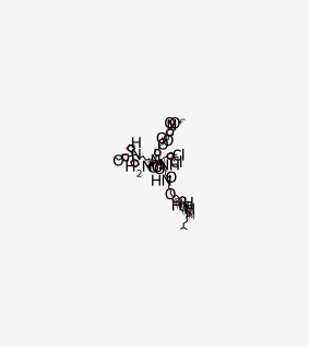 COc1ccc(C(NCCCC[C@@H](C(N)=O)N(C(=O)[C@H](Cc2ccc(Cl)c(Cl)c2)NC(=O)CCC(=O)NCCCOC2CC[C@@]3(C)C(=CC[C@H]4[C@@H]5CC[C@H]([C@H](C)CCCC(C)C)[C@@]5(C)CC[C@@H]43)C2)c2ccc(COC(=O)Oc3ccc([N+](=O)[O-])cc3)cc2)(c2ccccc2)c2ccccc2)cc1